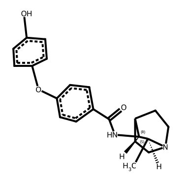 C[C@H]1[C@H](NC(=O)c2ccc(Oc3ccc(O)cc3)cc2)C2CCN1CC2